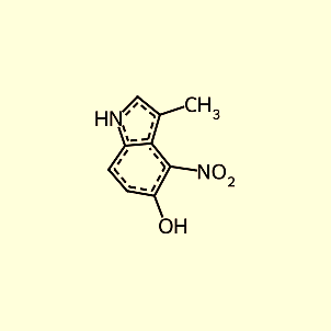 Cc1c[nH]c2ccc(O)c([N+](=O)[O-])c12